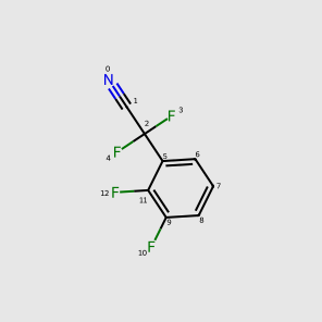 N#CC(F)(F)c1cccc(F)c1F